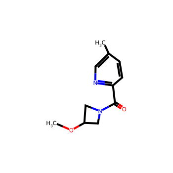 COC1CN(C(=O)c2ccc(C)cn2)C1